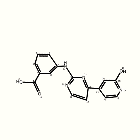 O=C(O)c1cccc(Nc2nccc(-c3ccnc(O)c3)n2)c1